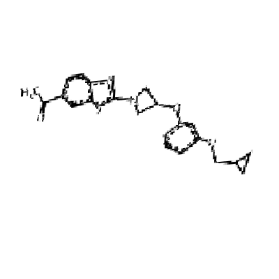 CC(=O)c1ccc2nc(N3CC(Oc4cccc(OCC5CC5)c4)C3)sc2c1